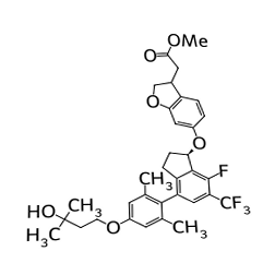 COC(=O)CC1COc2cc(O[C@@H]3CCc4c(-c5c(C)cc(OCCC(C)(C)O)cc5C)cc(C(F)(F)F)c(F)c43)ccc21